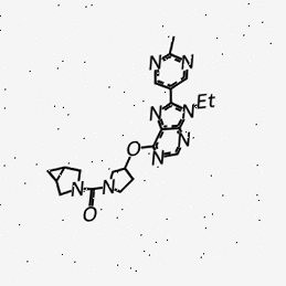 CCn1c(-c2cnc(C)nc2)nc2c(OC3CCN(C(=O)N4CC5CC5C4)C3)ncnc21